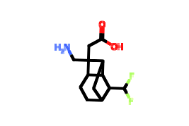 NCC1(CC(=O)O)C2CCC3CC1C2C3C(F)F